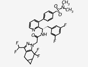 CN(C)S(=O)(=O)c1ccc(-c2cccnc2[C@H](Cc2cc(F)cc(F)c2)NC(=O)Cn2nc(C(F)F)c3c2C(F)(F)C2CC2C3)cc1